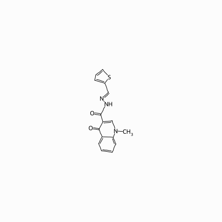 Cn1cc(C(=O)N/N=C/c2cccs2)c(=O)c2ccccc21